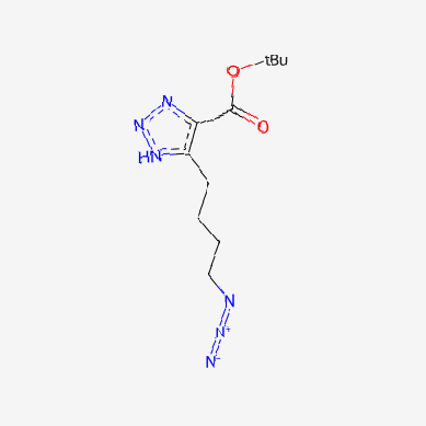 CC(C)(C)OC(=O)c1nn[nH]c1CCCCN=[N+]=[N-]